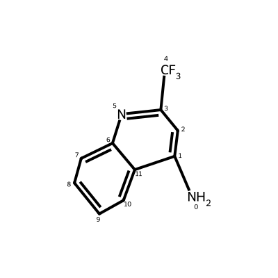 Nc1cc(C(F)(F)F)nc2ccccc12